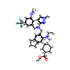 [C-]#[N+]c1cc(CN(Cc2cc3c(cc2N(CC)C[C@H]2CC[C@H](C(=O)OC)CC2)CCC3)c2ccn(C)n2)cc(C(F)(F)F)c1